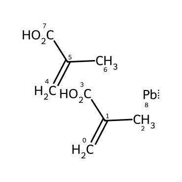 C=C(C)C(=O)O.C=C(C)C(=O)O.[Pb]